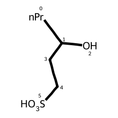 [CH2]CCC(O)CCS(=O)(=O)O